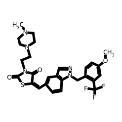 COc1ccc(Cn2ncc3cc(C=C4SC(=O)N(CCN5CCN(C)CC5)C4=O)ccc32)c(C(F)(F)F)c1